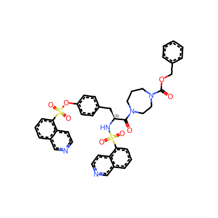 O=C(OCc1ccccc1)N1CCCN(C(=O)[C@H](Cc2ccc(OS(=O)(=O)c3cccc4cnccc34)cc2)NS(=O)(=O)c2cccc3cnccc23)CC1